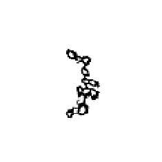 c1ccc2c(c1)sc1c(-c3ccc(-c4ccc(-c5c6ccccc6c(-c6cccc7c6sc6ccccc67)c6ccccc56)c5ccccc45)cc3)cccc12